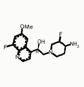 COc1cc(F)c2nccc([C@@H](O)CN3CCC(N)C(F)C3)c2c1